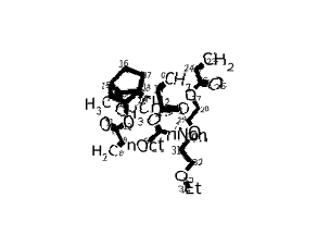 C=CC(=O)OC(CCCCCCCC)CCCCCCCCC.C=CC(=O)OC1CC2CCC1(C)C2(C)C.C=CC(=O)OCCOCCOCC